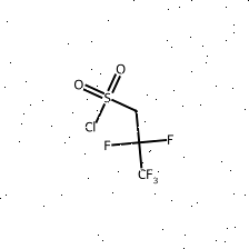 O=S(=O)(Cl)CC(F)(F)C(F)(F)F